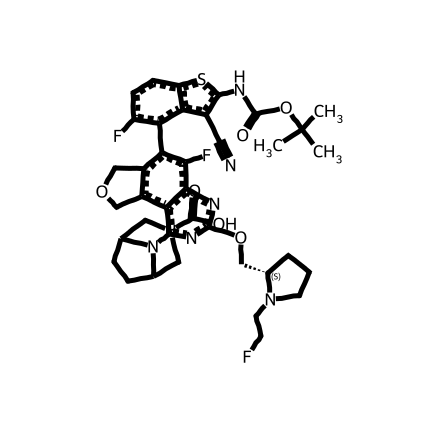 CC(C)(C)OC(=O)Nc1sc2ccc(F)c(-c3c4c(c5c(N6C7CCC6CN(C(=O)O)C7)nc(OC[C@@H]6CCCN6CCF)nc5c3F)COC4)c2c1C#N